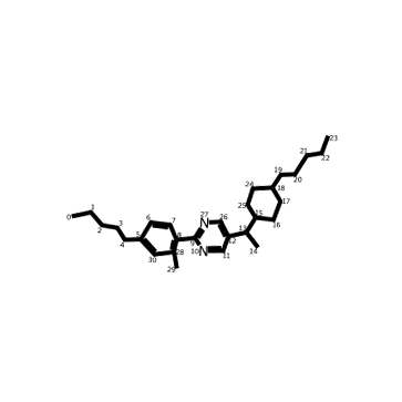 CCCCCc1ccc(-c2ncc(C(C)C3CCC(CCCCC)CC3)cn2)c(C)c1